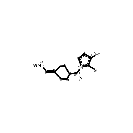 CCc1ccn([C@H](C)C2CCC(=COC)CC2)c1C